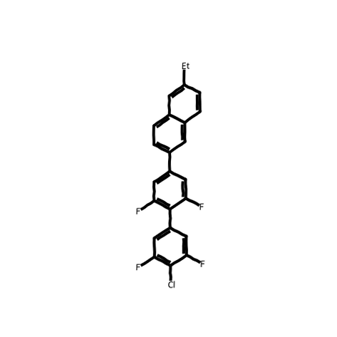 CCc1ccc2cc(-c3cc(F)c(-c4cc(F)c(Cl)c(F)c4)c(F)c3)ccc2c1